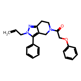 C=CCn1nc2c(c1-c1ccccc1)CN(C(=O)COc1ccccc1)CC2